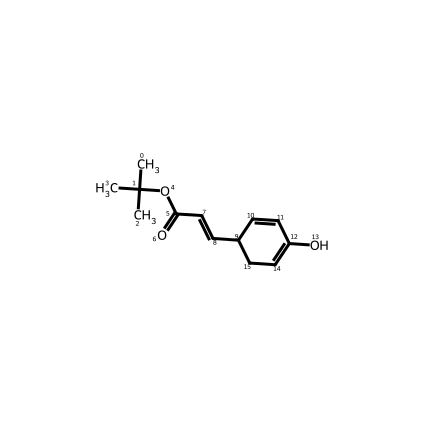 CC(C)(C)OC(=O)/C=C/C1C=CC(O)=CC1